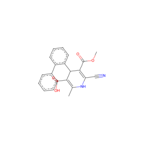 COC(=O)C1=C(C#N)NC(C)=C(C(=O)O)C1c1ccccc1-c1ccccc1